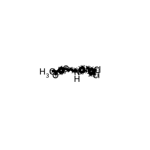 CCC(=O)c1ccc(OCCCCNC2CCN(Cc3ccc(Cl)c(Cl)c3)CC2)cc1